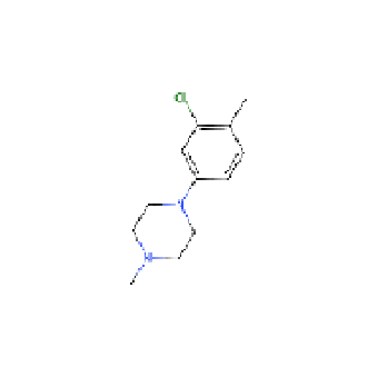 Cc1ccc(N2CCN(C)CC2)cc1Cl